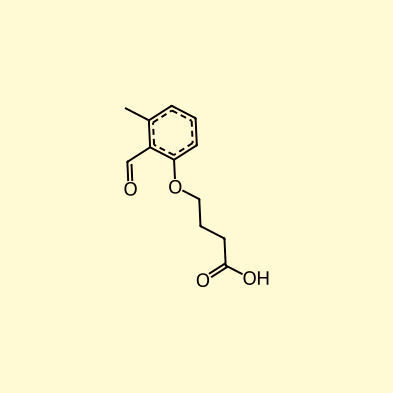 Cc1cccc(OCCCC(=O)O)c1C=O